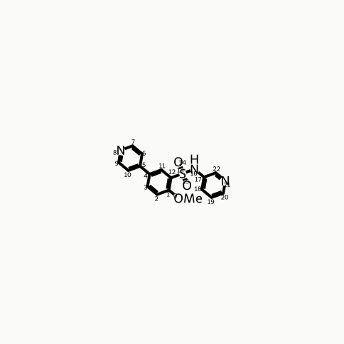 COc1ccc(-c2ccncc2)cc1S(=O)(=O)Nc1cccnc1